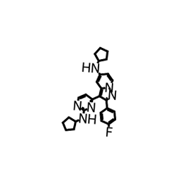 Fc1ccc(-c2nn3ccc(NC4CCCC4)cc3c2-c2ccnc(NC3CCCC3)n2)cc1